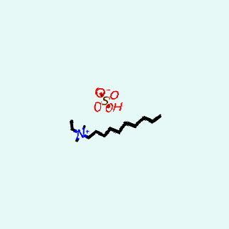 CCCCCCCCCC[N+](C)(C)CC.O=S(=O)([O-])O